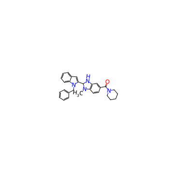 CN1c2ccc(C(=O)N3CCCCC3)cc2NC1c1cc2ccccc2n1Cc1ccccc1